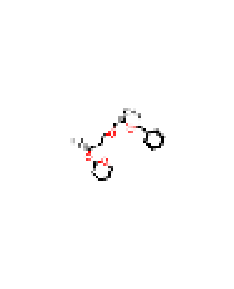 C[C@H](COCC[C@@H](C)OC1CCCCO1)OCc1ccccc1